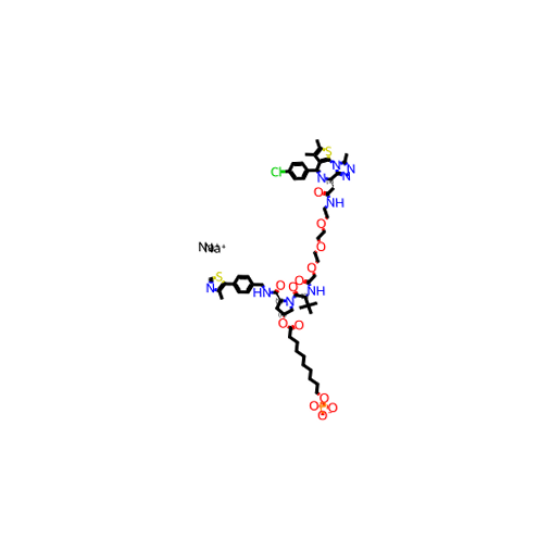 Cc1ncsc1-c1ccc(CNC(=O)[C@@H]2C[C@@H](OC(=O)CCCCCCCCCOP(=O)([O-])[O-])CN2C(=O)[C@@H](NC(=O)COCCOCCOCCNC(=O)C[C@@H]2N=C(c3ccc(Cl)cc3)c3c(sc(C)c3C)-n3c(C)nnc32)C(C)(C)C)cc1.[Na+].[Na+]